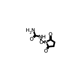 NC(=O)NON1C(=O)CCC1=O